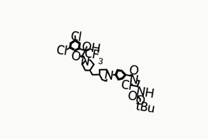 CC(C)(C)OC(=O)NC1CN(C(=O)c2ccc(N3CCC(CC4CCN(C(=O)[C@](O)(c5cc(Cl)cc(Cl)c5)C(F)(F)F)CC4)CC3)cc2Cl)C1